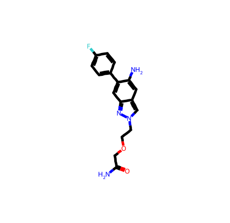 NC(=O)COCCn1cc2cc(N)c(-c3ccc(F)cc3)cc2n1